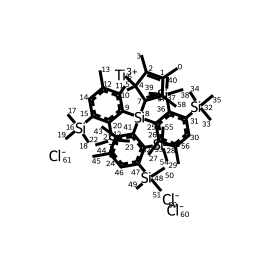 CC1=C(C)[C](C)([Ti+3])C([Si](c2c(C)c(C)cc([Si](C)(C)C)c2[Si](C)(C)C)(c2c(C)c(C)cc([Si](C)(C)C)c2[Si](C)(C)C)c2c(C)c(C)cc([Si](C)(C)C)c2[Si](C)(C)C)=C1C.[Cl-].[Cl-].[Cl-]